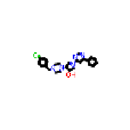 O[C@@H]1CN(c2cc(-c3ccccc3)ncn2)C[C@H]1N1CCN(Cc2ccc(Cl)cc2)CC1